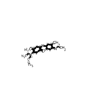 CC/N=c1/cc2oc3cc(N(CC)CC)c(C)cc3nc-2cc1C